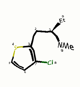 CC[C@H](Cc1sccc1Cl)NC